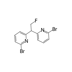 FCC(c1cccc(Br)n1)c1cccc(Br)n1